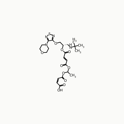 CC(OC(=O)/C=C\C(=O)O)OC(=O)/C=C/C(=O)O[C@@H](CNC(C)(C)C)COc1nsnc1N1CCOCC1